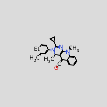 C=C/C=C(\C=C/CC)N1C(C2CC2)=NC2=C(C(=C=O)c3ccccc3N2C)C1C